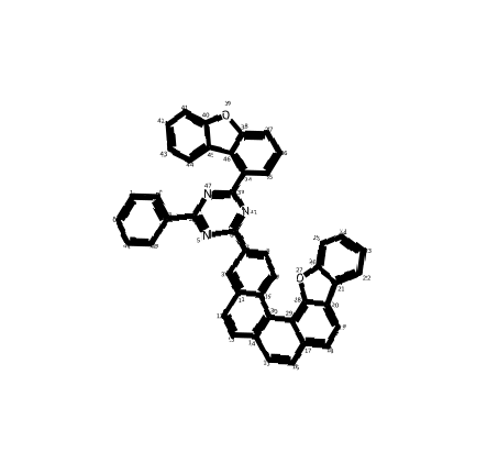 c1ccc(-c2nc(-c3ccc4c(ccc5ccc6ccc7c8ccccc8oc7c6c54)c3)nc(-c3cccc4oc5ccccc5c34)n2)cc1